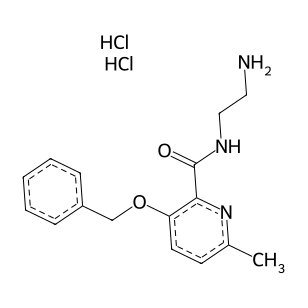 Cc1ccc(OCc2ccccc2)c(C(=O)NCCN)n1.Cl.Cl